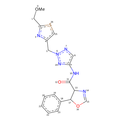 COCc1nc(Cn2ncc(NC(=O)C3N=COC3c3ccccc3)n2)cs1